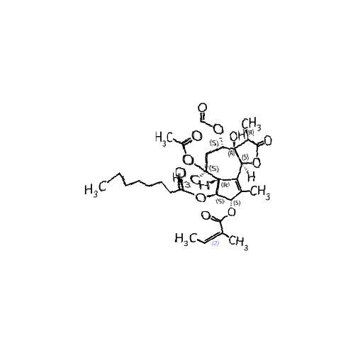 C/C=C(/C)C(=O)O[C@H]1C(C)=C2[C@H]([C@@H]1OC(=O)CCCCCCC)[C@@](C)(OC(C)=O)C[C@H](OC=O)[C@]1(O)[C@@H](C)C(=O)O[C@@H]21